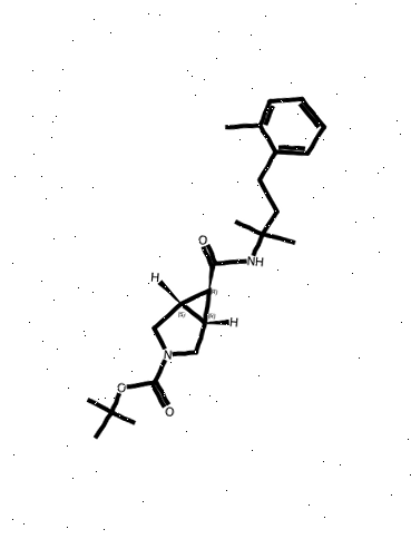 Cc1ccccc1CCC(C)(C)NC(=O)[C@H]1[C@@H]2CN(C(=O)OC(C)(C)C)C[C@@H]21